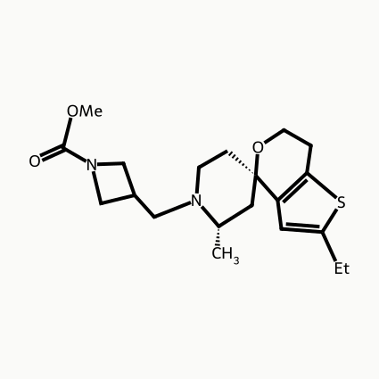 CCc1cc2c(s1)CCO[C@@]21CCN(CC2CN(C(=O)OC)C2)[C@@H](C)C1